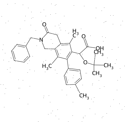 Cc1ccc(-c2c(C)c3c(c(C)c2C(OC(C)(C)C)C(=O)O)CC(=O)N(Cc2ccccc2)C3)cc1